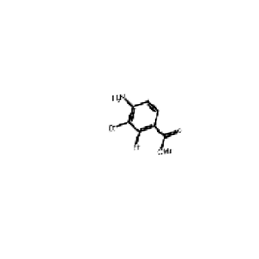 CCc1c(N)ccc(C(=O)OC)c1CC